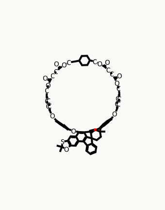 CC1(C)CCC2(CC1)c1ccccc1-c1c2c2c(c3cc4c(cc13)OC(C)(C)S4)Oc1ccc(cc1)OC1CCC(CC1)COC(=O)CCC(=O)OCC1CCC(CC1)COC(=O)CCC(=O)OCC1CCC(CC1)Oc1ccc(cc1)/C=C\2